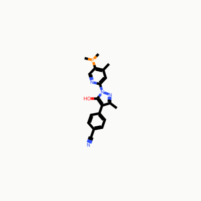 Cc1cc(-n2nc(C)c(-c3ccc(C#N)cc3)c2O)ncc1P(C)C